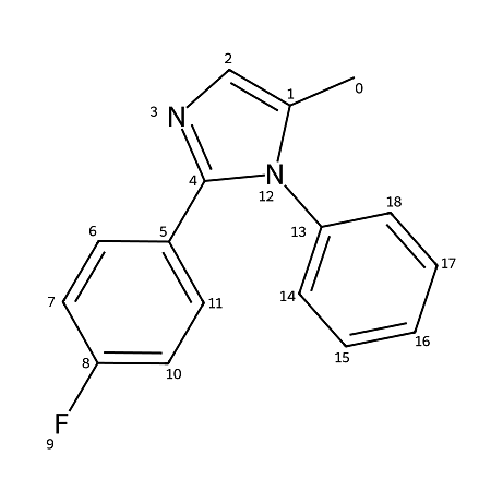 Cc1cnc(-c2ccc(F)cc2)n1-c1ccccc1